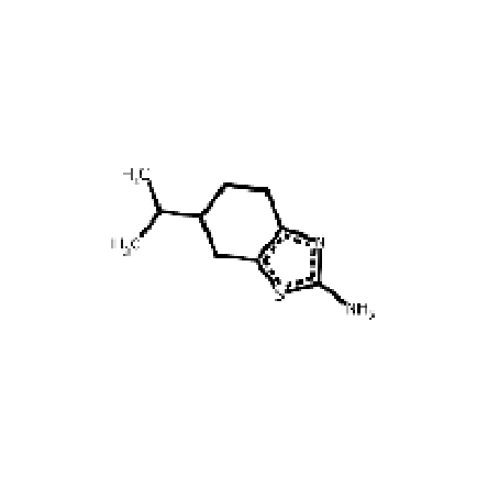 CC(C)C1CCc2nc(N)sc2C1